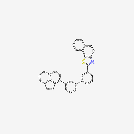 C1=Cc2c(-c3cccc(-c4cccc(-c5nc6ccc7ccccc7c6s5)c4)c3)ccc3cccc1c23